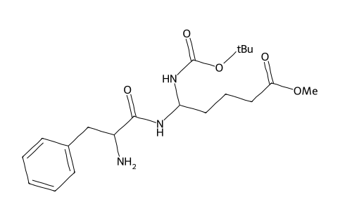 COC(=O)CCCC(NC(=O)OC(C)(C)C)NC(=O)C(N)Cc1ccccc1